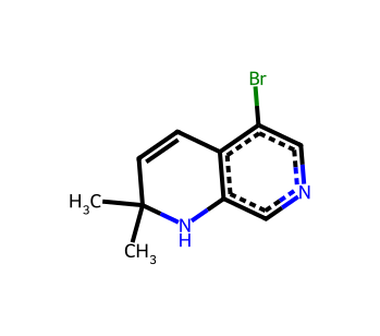 CC1(C)C=Cc2c(Br)cncc2N1